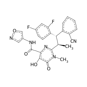 C[C@@H](c1nc(C(=O)Nc2cnoc2)c(O)c(=O)n1C)[C@H](c1ccc(F)cc1F)c1ccccc1C#N